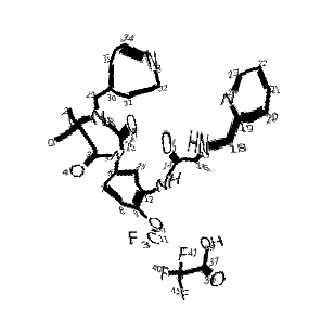 CC1(C)C(=O)N(c2ccc(OC(F)(F)F)c(NC(=O)CNCc3ccccn3)c2)C(=O)N1Cc1ccncc1.O=C(O)C(F)(F)F